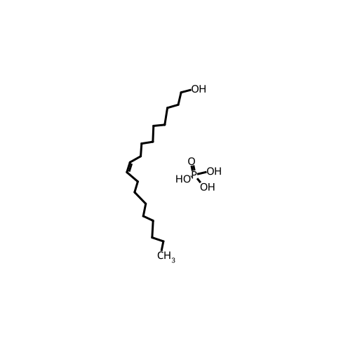 CCCCCCCC/C=C\CCCCCCCCO.O=P(O)(O)O